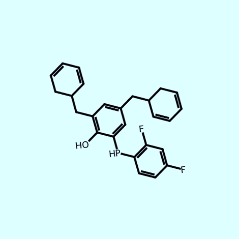 Oc1c(CC2C=CC=CC2)cc(CC2C=CC=CC2)cc1Pc1ccc(F)cc1F